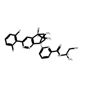 C[C@H](CO)NC(=O)c1cccc([C@]23CC[C@@H](c4cc(-c5c(F)cccc5F)nnc42)C3(C)C)n1